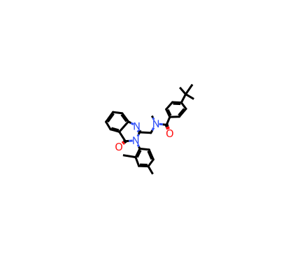 Cc1ccc(-n2c(CN(C)C(=O)c3ccc(C(C)(C)C)cc3)nc3ccccc3c2=O)c(C)c1